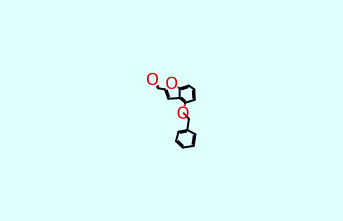 O=Cc1cc2c(OCc3ccccc3)cccc2o1